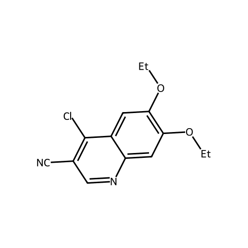 CCOc1cc2ncc(C#N)c(Cl)c2cc1OCC